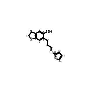 Oc1cc2c(cc1CCCOc1cccs1)SCC2